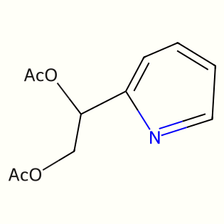 CC(=O)OCC(OC(C)=O)c1ccccn1